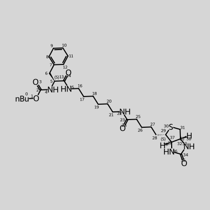 CCCCOC(=O)N[C@@H](Cc1ccccc1)C(=O)NCCCCCCNC(=O)CCCC[C@@H]1SC[C@@H]2NC(=O)N[C@@H]21